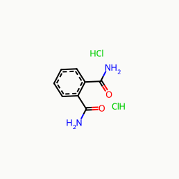 Cl.Cl.NC(=O)c1ccccc1C(N)=O